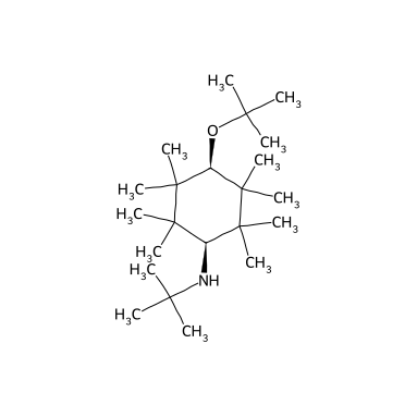 CC(C)(C)N[C@H]1C(C)(C)C(C)(C)[C@@H](OC(C)(C)C)C(C)(C)C1(C)C